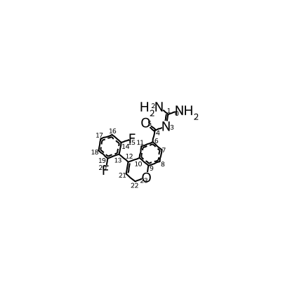 NC(N)=NC(=O)c1ccc2c(c1)C(c1c(F)cccc1F)=CCO2